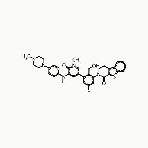 CN1CCN(c2ccc(Nc3cc(-c4cc(F)cc(N5CCc6c(sc7ccccc67)C5=O)c4CO)cn(C)c3=O)nc2)CC1